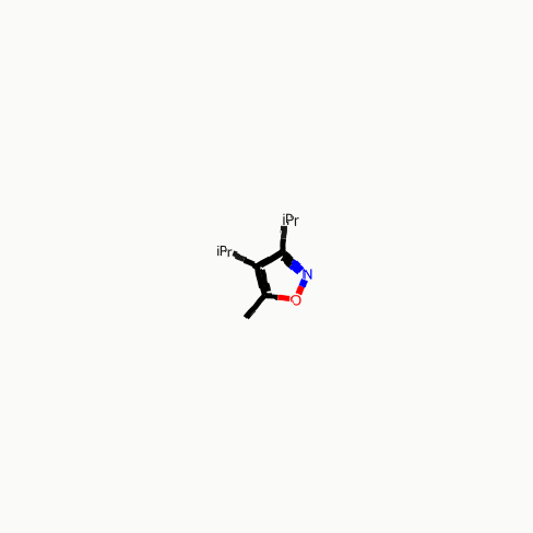 Cc1onc(C(C)C)c1C(C)C